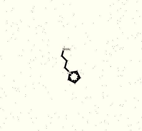 CC(=O)NCCCn1cccc1